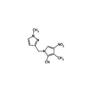 Cc1c([N+](=O)[O-])cn(Cc2ccn(C)n2)c1C#N